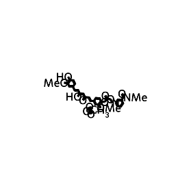 CNC(=O)c1ccc[n+](COC(=O)Oc2ccc(C=CC(=O)C=C(O)C=Cc3ccc(O)c(OC)c3)cc2OC)c1.CS(=O)(=O)[O-]